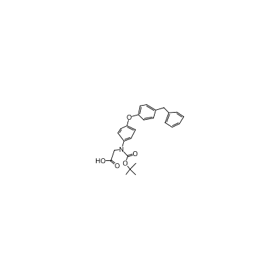 CC(C)(C)OC(=O)N(CC(=O)O)c1ccc(Oc2ccc(Cc3ccccc3)cc2)cc1